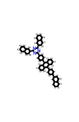 c1ccc2cc(-c3ccc(-c4c5ccccc5c(-c5ccc(-c6nc(-c7ccc8ccccc8c7)nc(-c7ccc8ccccc8c7)n6)cc5)c5ccccc45)cc3)ccc2c1